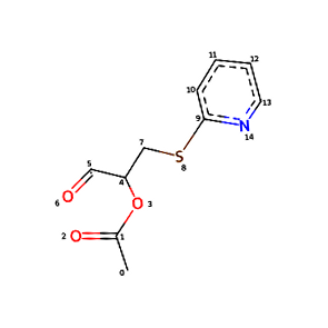 CC(=O)OC([C]=O)CSc1ccccn1